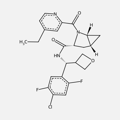 CCc1ccnc(C(=O)N2[C@@H](C(=O)N[C@@H](c3cc(F)c(Cl)cc3F)C3COC3)C[C@H]3C[C@H]32)c1